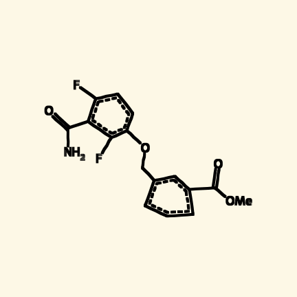 COC(=O)c1cccc(COc2ccc(F)c(C(N)=O)c2F)c1